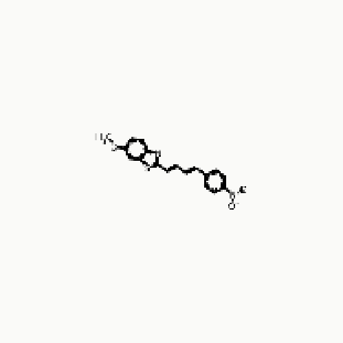 COc1ccc2nc(/C=C/C=C/c3ccc([N+](=O)[O-])cc3)sc2c1